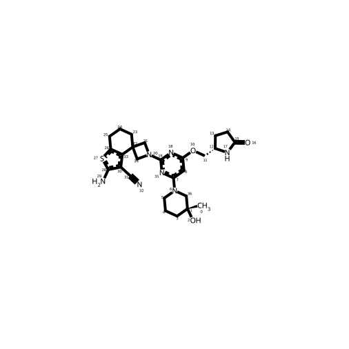 C[C@@]1(O)CCCN(c2cc(OC[C@@H]3CCC(=O)N3)nc(N3CC4(CCCc5sc(N)c(C#N)c54)C3)n2)C1